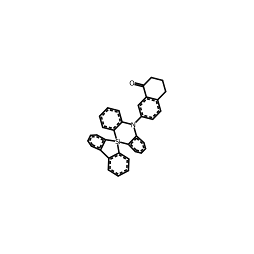 O=C1CCCc2ccc(N3c4ccccc4[Si]4(c5ccccc5-c5ccccc54)c4ccccc43)cc21